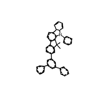 CC1(C)c2cc(-c3cc(-c4ccccc4)cc(-c4ccccc4)c3)ccc2-c2ccc3c(c21)N(c1ccccc1)C1C=CC=CC31